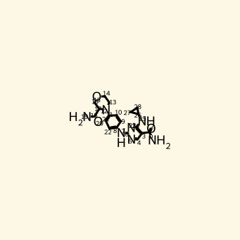 NC(=O)c1cnc(Nc2ccc(N3CCOCC3C(N)=O)cc2)nc1NC1CC1